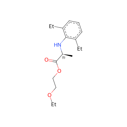 CCOCCOC(=O)[C@H](C)Nc1c(CC)cccc1CC